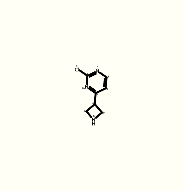 Clc1nccc(C2CNC2)n1